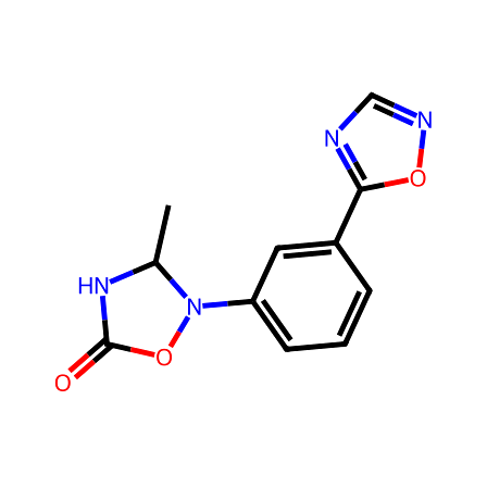 CC1NC(=O)ON1c1cccc(-c2ncno2)c1